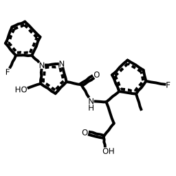 Cc1c(F)cccc1C(CC(=O)O)NC(=O)c1cc(O)n(-c2ccccc2F)n1